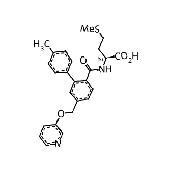 CSCC[C@H](NC(=O)c1ccc(COc2cccnc2)cc1-c1ccc(C)cc1)C(=O)O